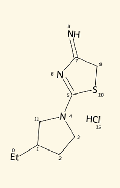 CCC1CCN(C2=NC(=N)CS2)C1.Cl